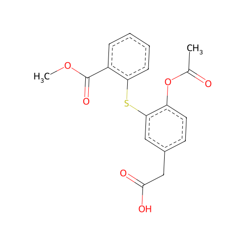 COC(=O)c1ccccc1Sc1cc(CC(=O)O)ccc1OC(C)=O